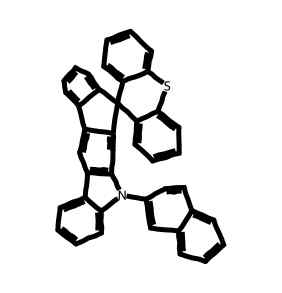 c1ccc2c(c1)Sc1ccccc1C21c2ccccc2-c2cc3c4ccccc4n(-c4ccc5ccccc5c4)c3cc21